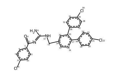 N/C(=N\C(=O)c1ccc(Cl)cc1)NCc1cnc(-c2ccc(Cl)cc2)c(-c2ccc(Cl)cc2)c1